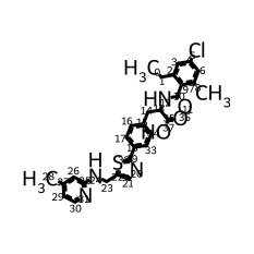 CCc1cc(Cl)cc(C)c1C(=O)NC(Cc1ccc(-c2ncc(CNc3cc(C)ccn3)s2)cc1)C(=O)O